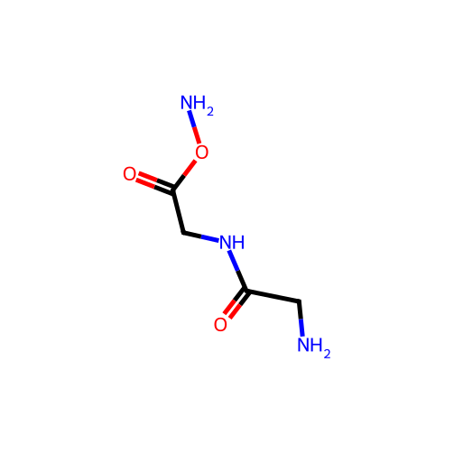 NCC(=O)NCC(=O)ON